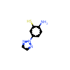 Nc1ccc(-n2nccn2)cc1S